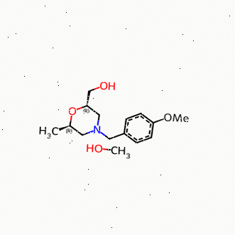 CO.COc1ccc(CN2C[C@H](CO)O[C@H](C)C2)cc1